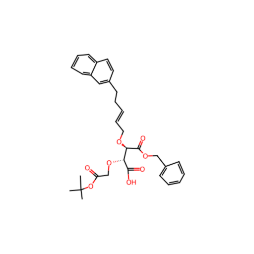 CC(C)(C)OC(=O)CO[C@@H](C(=O)O)[C@@H](OCC=CCCc1ccc2ccccc2c1)C(=O)OCc1ccccc1